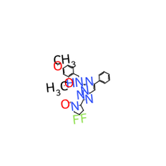 COc1ccc(CNc2nc(-c3ccccc3)cc3nc(C4CC(F)(F)CN4C=O)nn23)c(OC)c1